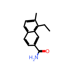 CCc1c(C)ccc2ccc(C(N)=O)cc12